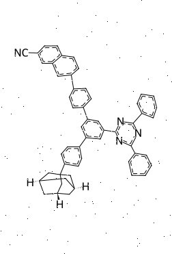 N#Cc1ccc2ccc(-c3ccc(-c4cc(-c5ccc(C67C[C@H]8C[C@@H](C6)C[C@@H](C7)C8)cc5)cc(-c5nc(-c6ccccc6)nc(-c6ccccc6)n5)c4)cc3)cc2c1